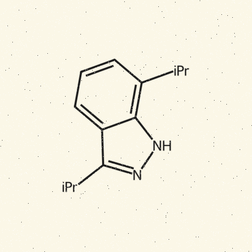 CC(C)c1n[nH]c2c(C(C)C)cccc12